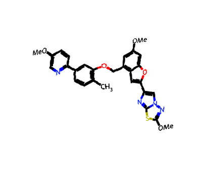 COc1ccc(-c2ccc(C)c(OCc3cc(OC)cc4oc(-c5cn6nc(OC)sc6n5)cc34)c2)nc1